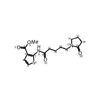 COC(=O)c1ccsc1NC(=O)CCCCN1CCCC1=O